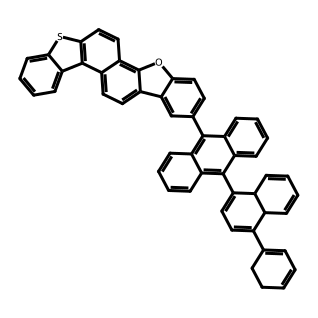 C1=CCCC(C2=CC=C(c3c4ccccc4c(-c4ccc5oc6c(ccc7c6ccc6sc8ccccc8c67)c5c4)c4ccccc34)C3C=CC=CC23)=C1